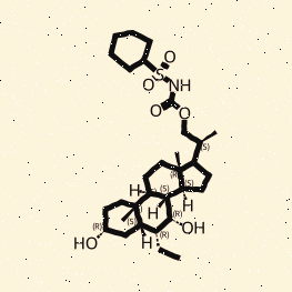 CC[C@H]1[C@@H](O)[C@@H]2[C@H](CC[C@]3(C)C([C@H](C)COC(=O)NS(=O)(=O)C4CCCCC4)CC[C@@H]23)[C@@]2(C)CC[C@@H](O)C[C@@H]12